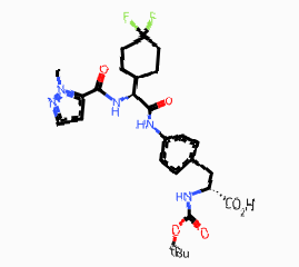 Cn1nccc1C(=O)N[C@H](C(=O)Nc1ccc(C[C@@H](NC(=O)OC(C)(C)C)C(=O)O)cc1)C1CCC(F)(F)CC1